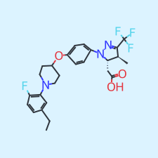 CCc1ccc(F)c(N2CCC(Oc3ccc(N4N=C(C(F)(F)F)[C@@H](C)[C@@H]4CC(=O)O)cc3)CC2)c1